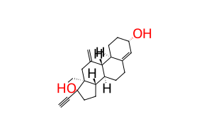 C#C[C@]1(O)CC[C@H]2[C@@H]3CCC4=C[C@@H](O)CC[C@@H]4[C@H]3C(=C)C[C@@]21CC